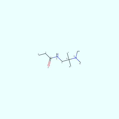 CCC(=O)NCC(C)(C)N(C)C